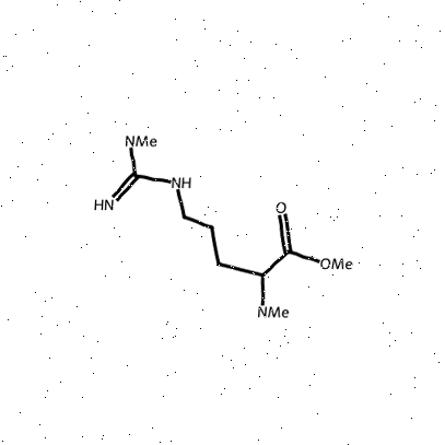 CNC(=N)NCCCC(NC)C(=O)OC